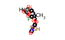 CCC(CC(=O)Oc1cc2c(cc1F)C(CC(=O)Oc1ccc(P(=S)(S)N3CCOCC3)cc1)=C(C)/C2=C/c1ccc([S+](C)[O-])cc1)O[N+](=O)[O-]